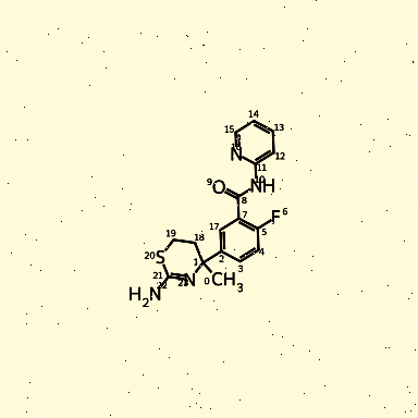 CC1(c2ccc(F)c(C(=O)Nc3ccccn3)c2)CCSC(N)=N1